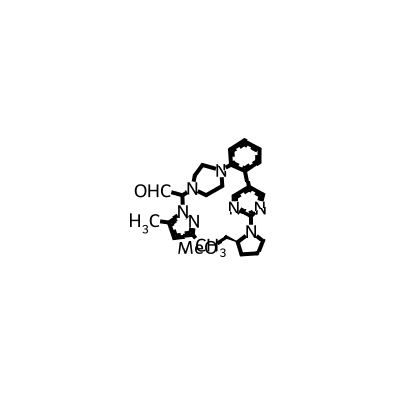 COC[C@@H]1CCCN1c1ncc(-c2ccccc2N2CCN(C(C=O)n3nc(C)cc3C)CC2)cn1